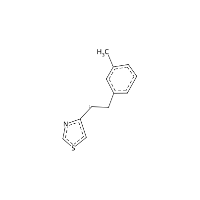 Cc1cccc(C[C]c2cscn2)c1